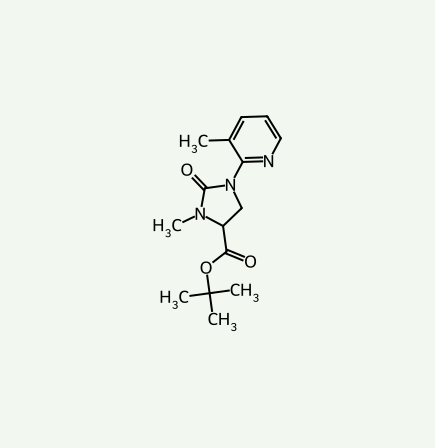 Cc1cccnc1N1CC(C(=O)OC(C)(C)C)N(C)C1=O